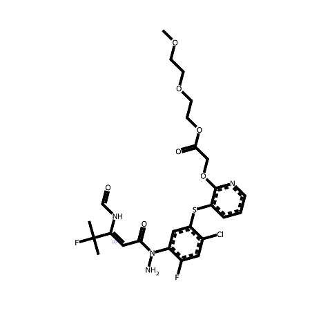 COCCOCCOC(=O)COc1ncccc1Sc1cc(N(N)C(=O)/C=C(\NC=O)C(C)(C)F)c(F)cc1Cl